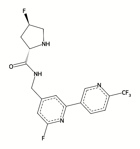 O=C(NCc1cc(F)nc(-c2ccc(C(F)(F)F)nc2)c1)[C@@H]1C[C@@H](F)CN1